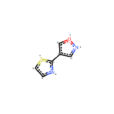 [c]1nocc1-c1nccs1